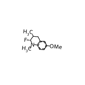 COc1ccc2c(c1)CC(C)[C@H](F)N2C